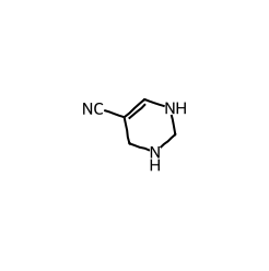 N#CC1=CNCNC1